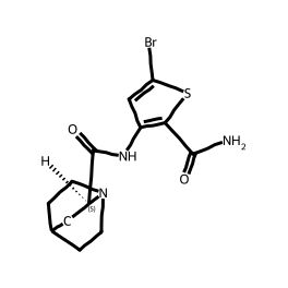 NC(=O)c1sc(Br)cc1NC(=O)[C@@H]1CC2CCN1CC2